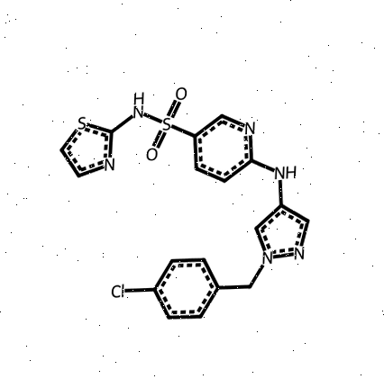 O=S(=O)(Nc1nccs1)c1ccc(Nc2cnn(Cc3ccc(Cl)cc3)c2)nc1